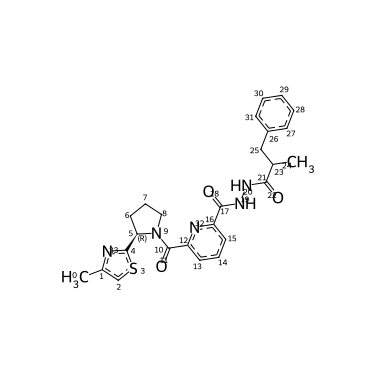 Cc1csc([C@H]2CCCN2C(=O)c2cccc(C(=O)NNC(=O)C(C)Cc3ccccc3)n2)n1